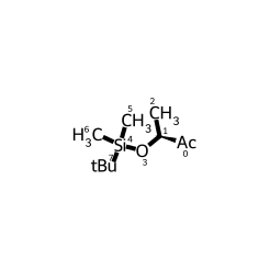 CC(=O)[C@H](C)O[Si](C)(C)C(C)(C)C